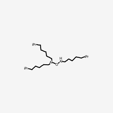 CC(C)CCCC[CH2][AlH][O][Al]([CH2]CCCCC(C)C)[CH2]CCCCC(C)C